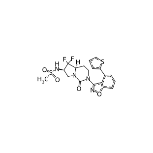 CS(=O)(=O)N[C@@H]1CN2C(=O)N(c3noc4cccc(-c5cccs5)c34)CC[C@@H]2C1(F)F